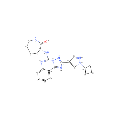 O=C1NCCCC[C@H]1Nc1nc2ccccc2c2nc(-c3cnn(C4CCC4)c3)nn12